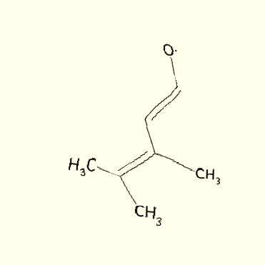 CC(C)=C(C)C=C[O]